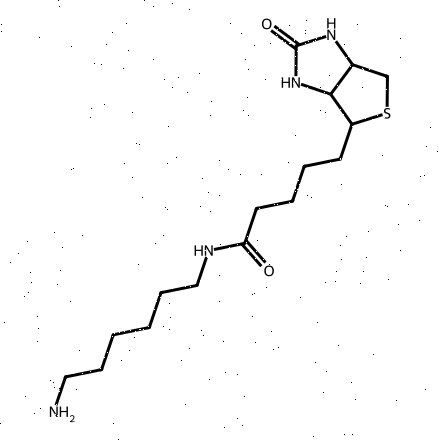 NCCCCCCNC(=O)CCCCC1SCC2NC(=O)NC21